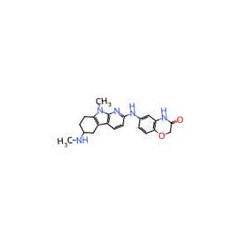 CNC1CCc2c(c3ccc(Nc4ccc5c(c4)NC(=O)CO5)nc3n2C)C1